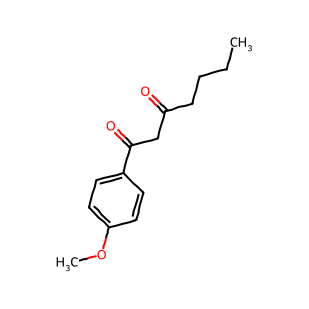 CCCCC(=O)CC(=O)c1ccc(OC)cc1